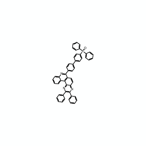 O=P(c1ccccc1)(c1ccccc1)c1ccc(-c2ccc(-c3nc4ccccc4c4c3ccc3nc(-c5ccccc5)c(-c5ccccc5)nc34)cc2)cc1